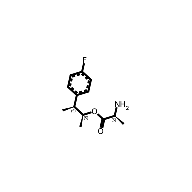 C[C@H](N)C(=O)O[C@@H](C)[C@@H](C)c1ccc(F)cc1